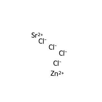 [Cl-].[Cl-].[Cl-].[Cl-].[Sr+2].[Zn+2]